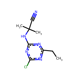 CCc1nc(Cl)nc(NC(C)(C)C#N)n1